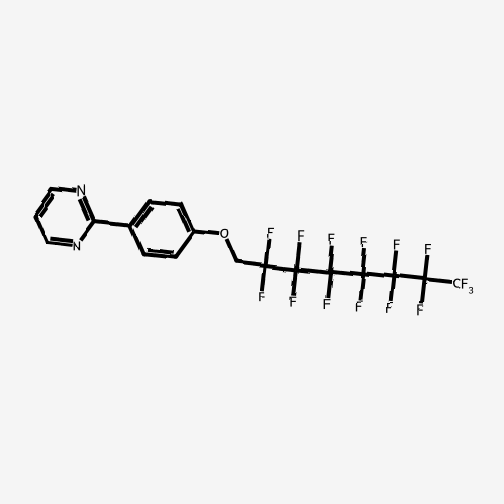 FC(F)(F)C(F)(F)C(F)(F)C(F)(F)C(F)(F)C(F)(F)C(F)(F)COc1ccc(-c2ncccn2)cc1